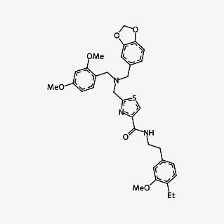 CCc1ccc(CCNC(=O)c2csc(CN(Cc3ccc4c(c3)OCO4)Cc3ccc(OC)cc3OC)n2)cc1OC